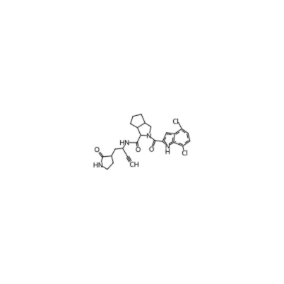 C#CC(CC1CCNC1=O)NC(=O)C1C2CCCC2CN1C(=O)c1cc2c(Cl)ccc(Cl)c2[nH]1